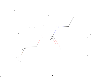 CCNC(=O)OCCBr